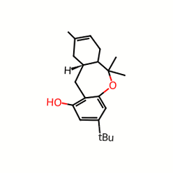 CC1=CCC2[C@@H](C1)Cc1c(O)cc(C(C)(C)C)cc1OC2(C)C